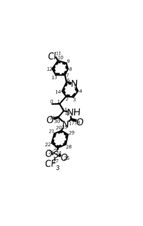 CC(c1ccnc(-c2ccc(Cl)cc2)c1)C1NC(=O)N(c2ccc(S(=O)(=O)C(F)(F)F)cc2)C1=O